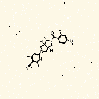 COc1ccc(C(=O)N2C[C@H]3CN(c4cc(C)c(C#N)c(C)n4)C[C@H]3[C@@H]2C)c(F)c1